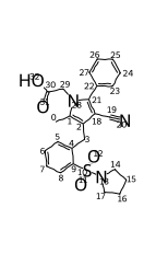 Cc1c(Cc2ccccc2S(=O)(=O)N2CCCC2)c(C#N)c(-c2ccccc2)n1CC(=O)O